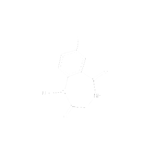 CN1C(=O)CNC(=O)c2cc(F)ccc21